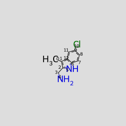 Cc1c(CN)[nH]c2ccc(Cl)cc12